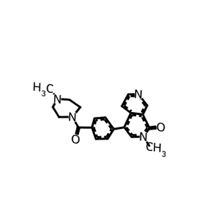 CN1CCN(C(=O)c2ccc(-c3cn(C)c(=O)c4cnccc34)cc2)CC1